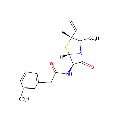 C=C[C@@]1(C)S[C@H]2[C@H](NC(=O)Cc3cccc(C(=O)O)c3)C(=O)N2C1C(=O)O